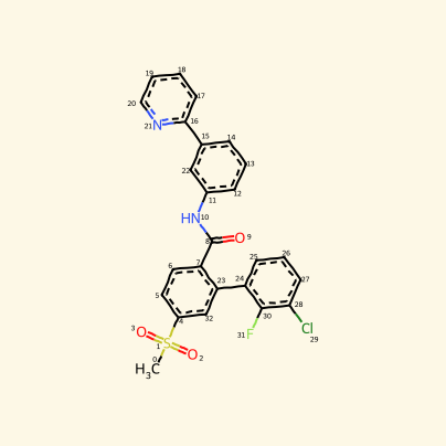 CS(=O)(=O)c1ccc(C(=O)Nc2cccc(-c3ccccn3)c2)c(-c2cccc(Cl)c2F)c1